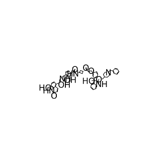 N=C(OCC1CCN(Cc2ccccc2)CC1)C(O)(c1ccccc1)c1cccc(OCC(=O)[C@H]2C[C@H](NC(=O)c3ccc(CNC[C@H](O)c4ccc(O)c5[nH]c(=O)ccc45)c(O)c3)C2)c1